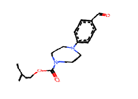 CC(C)COC(=O)N1CCN(c2ccc(C=O)cc2)CC1